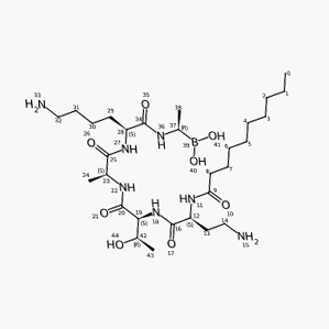 CCCCCCCCCC(=O)N[C@@H](CCN)C(=O)N[C@H](C(=O)N[C@@H](C)C(=O)N[C@@H](CCCCN)C(=O)N[C@@H](C)B(O)O)[C@@H](C)O